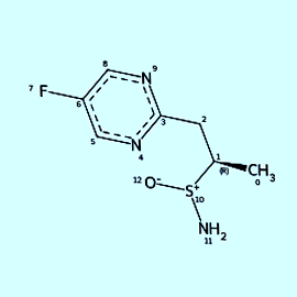 C[C@H](Cc1ncc(F)cn1)[S+](N)[O-]